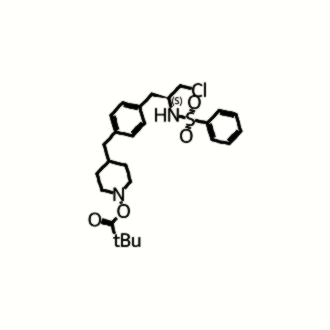 CC(C)(C)C(=O)ON1CCC(Cc2ccc(C[C@@H](CCl)NS(=O)(=O)c3ccccc3)cc2)CC1